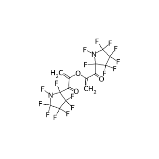 C=C(OC(=C)C(=O)C1(F)N(F)C(F)(F)C(F)(F)C1(F)F)C(=O)C1(F)N(F)C(F)(F)C(F)(F)C1(F)F